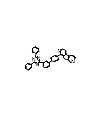 c1ccc(-c2nc(-c3ccccc3)nc(-c3cccc(-c4ccc(-c5nccc6c5Cc5cnccc5-6)cc4)c3)n2)cc1